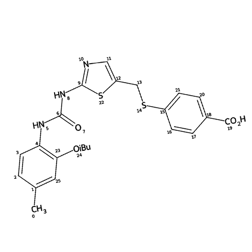 Cc1ccc(NC(=O)Nc2ncc(CSc3ccc(C(=O)O)cc3)s2)c(OCC(C)C)c1